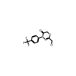 O=C1COC(CCl)=NN1c1ccc(C(F)(F)F)cc1